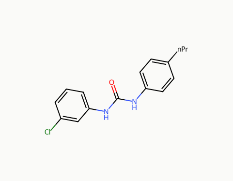 CCCc1ccc(NC(=O)Nc2cccc(Cl)c2)cc1